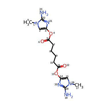 Cn1cc(OC(=O)CCCCC(=O)Oc2cn(C)c(N)n2)nc1N